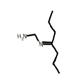 CCCC(CCC)=NCN